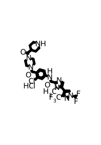 Cl.Cn1c(-c2cn(C(F)F)nc2C(F)(F)F)cnc1C(=O)Nc1ccc(C(=O)N2CCN(C(=O)C3CCNCC3)CC2)c(Cl)c1